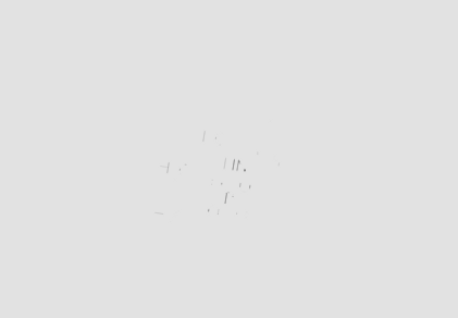 CCOP(=O)(OCC)ONC(=S)C(CC)C1CCCCC1